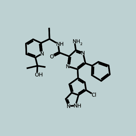 CC(NC(=O)c1nc(-c2cc(Cl)c3[nH]ncc3c2)c(-c2ccccc2)nc1N)c1cccc(C(C)(C)O)n1